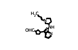 C=C/C=C/N1CCCC(Nn2cc(C3CCC(C=O)C3)c3cccnc32)C1